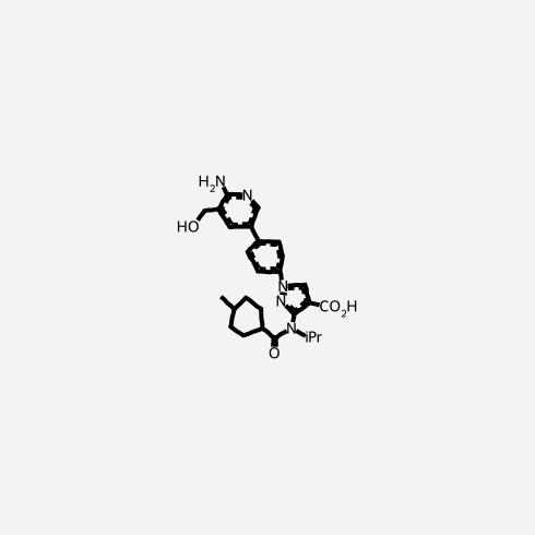 CC1CCC(C(=O)N(c2nn(-c3ccc(-c4cnc(N)c(CO)c4)cc3)cc2C(=O)O)C(C)C)CC1